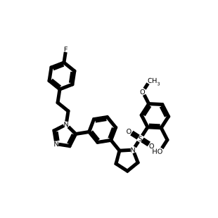 COc1ccc(CO)c(S(=O)(=O)N2CCCC2c2cccc(-c3cncn3CCc3ccc(F)cc3)c2)c1